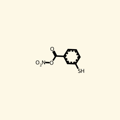 O=C(O[N+](=O)[O-])c1cccc(S)c1